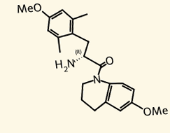 COc1cc(C)c(C[C@@H](N)C(=O)N2CCCc3cc(OC)ccc32)c(C)c1